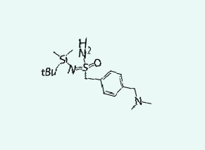 CN(C)Cc1ccc(CS(N)(=O)=N[Si](C)(C)C(C)(C)C)cc1